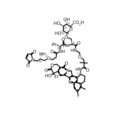 CC[C@@]1(O)C(=O)OCc2c1cc1n(c2=O)Cc2c-1nc1cc(F)c(C)c3c1c2[C@@H](NC(=O)C(C)(C)COCNC(=O)[C@H](CO[C@@H]1O[C@H](C(=O)O)[C@@H](O)[C@H](O)[C@H]1O)NC(=O)[C@@H](NC(=O)CCOC[C@@H](N)CN1C(=O)C=CC1=O)C(C)C)CC3